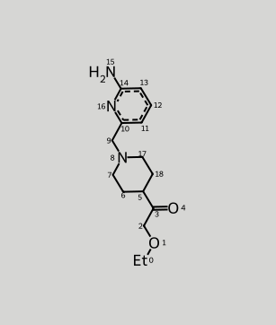 CCOCC(=O)C1CCN(Cc2cccc(N)n2)CC1